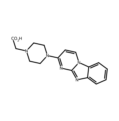 O=C(O)CN1CCN(c2ccn3c(n2)nc2ccccc23)CC1